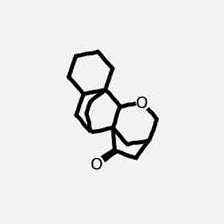 O=C1CC2COC3C45CCCCC4CC(CC5)C13C2